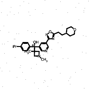 CC(C)c1ccc([C@](O)(c2cncc(-c3noc(CCC4CCOCC4)n3)c2)C2(C)CN(C)C2)cc1